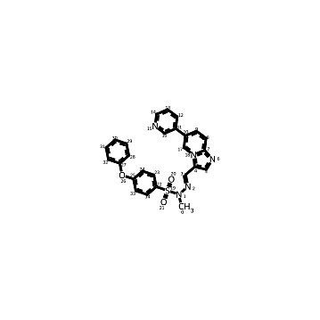 CN(N=Cc1cnc2ccc(-c3cccnc3)cn12)S(=O)(=O)c1ccc(Oc2ccccc2)cc1